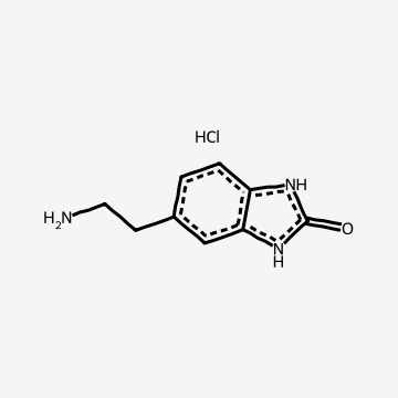 Cl.NCCc1ccc2[nH]c(=O)[nH]c2c1